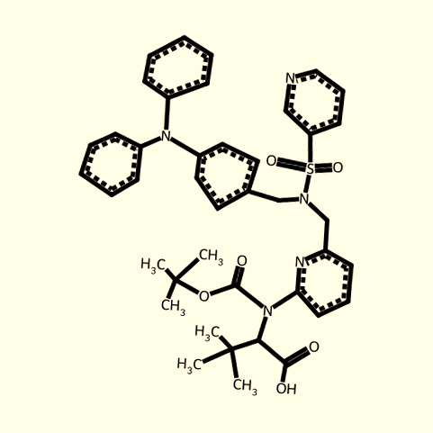 CC(C)(C)OC(=O)N(c1cccc(CN(Cc2ccc(N(c3ccccc3)c3ccccc3)cc2)S(=O)(=O)c2cccnc2)n1)C(C(=O)O)C(C)(C)C